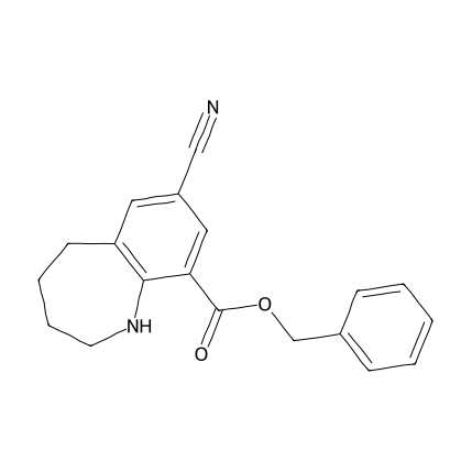 N#Cc1cc2c(c(C(=O)OCc3ccccc3)c1)NCCCC2